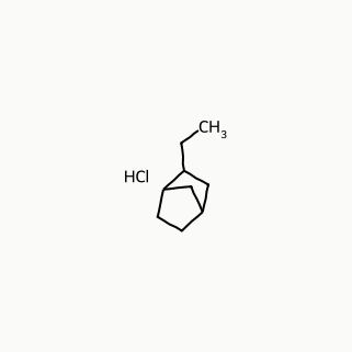 CCC1CC2CCC1C2.Cl